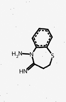 N=C1CCSc2ccccc2N1N